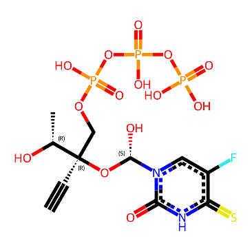 C#C[C@](COP(=O)(O)OP(=O)(O)OP(=O)(O)O)(O[C@H](O)n1cc(F)c(=S)[nH]c1=O)[C@@H](C)O